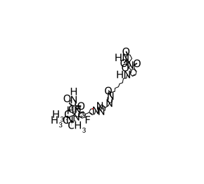 C[C@@H]1CN(c2cc(F)c(C3=CCN(c4ncc(CN5CCN(C(=O)CCCCCCCNc6cccc7c6C(=O)N(C6CCC(=O)NC6=O)C7=O)CC5)cn4)CC3)cc2NC(=O)c2c[nH]c(=O)cc2C(F)(F)F)C[C@H](C)N1C